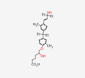 CCC(O)(C=Cc1ccc(C(CC)(CC)c2ccc(OC[C@@H](O)CCCC(=O)O)c(C)c2)cc1C)CC